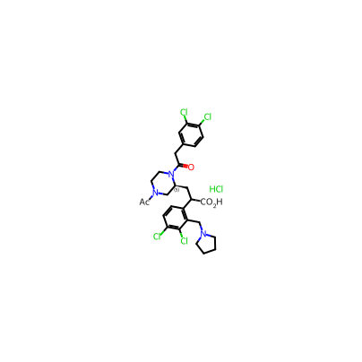 CC(=O)N1CCN(C(=O)Cc2ccc(Cl)c(Cl)c2)[C@@H](CC(C(=O)O)c2ccc(Cl)c(Cl)c2CN2CCCC2)C1.Cl